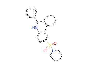 O=S(=O)(c1ccc2c(c1)C1CCCCC1C(c1ccccc1)N2)N1CCCCC1